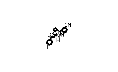 C[C@](O)(CC(=O)Nc1nc2ccc(C#N)cc2n1C1CCC1)c1ccc(F)cc1